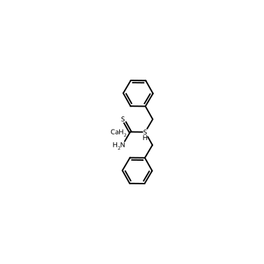 NC(=S)[SH](Cc1ccccc1)Cc1ccccc1.[CaH2]